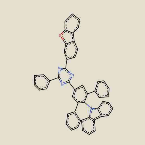 c1ccc(-c2nc(-c3cc(-c4ccccc4)c(-n4c5ccccc5c5ccccc54)c(-c4ccccc4)c3)nc(-c3ccc4c(c3)oc3ccccc34)n2)cc1